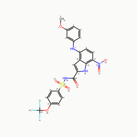 COc1cccc(Nc2ccc([N+](=O)[O-])c3[nH]c(C(=O)NS(=O)(=O)c4ccc(OC(F)(F)F)cc4)cc23)c1